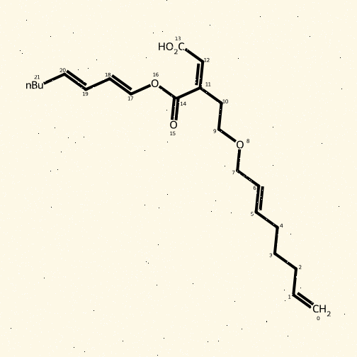 C=CCCCC=CCOCCC(=CC(=O)O)C(=O)OC=CC=CCCCC